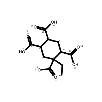 [CH2]CC1(C(=O)O)CC(C(=O)O)C(C(=O)O)CC1C(=O)O